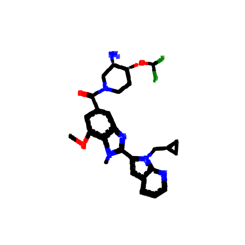 COc1cc(C(=O)N2CC[C@@H](OC(F)F)[C@@H](N)C2)cc2nc(-c3cc4cccnc4n3CC3CC3)n(C)c12